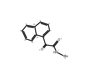 CC(C)(C)NC(=O)C(=O)c1cccc2ccccc12